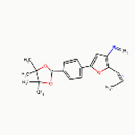 C=Nc1cc(-c2ccc(B3OC(C)(C)C(C)(C)O3)cc2)oc1/C=C\C